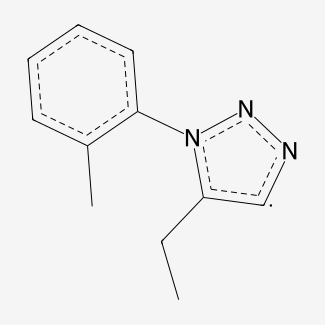 CCc1[c]nnn1-c1ccccc1C